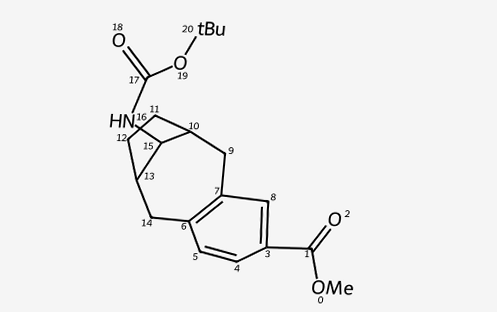 COC(=O)c1ccc2c(c1)CC1CCC(C2)C1NC(=O)OC(C)(C)C